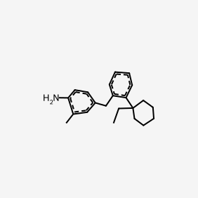 CCC1(c2ccccc2Cc2ccc(N)c(C)c2)CCCCC1